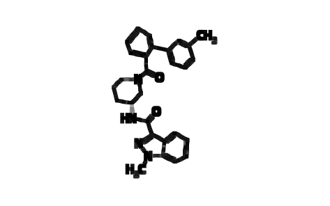 Cc1cccc(-c2ccccc2C(=O)N2CCC[C@@H](NC(=O)c3nn(C)c4ccccc34)C2)c1